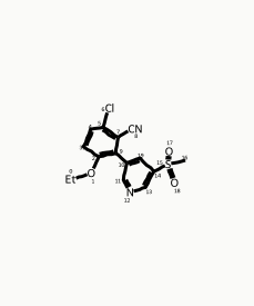 CCOc1[c]cc(Cl)c(C#N)c1-c1cncc(S(C)(=O)=O)c1